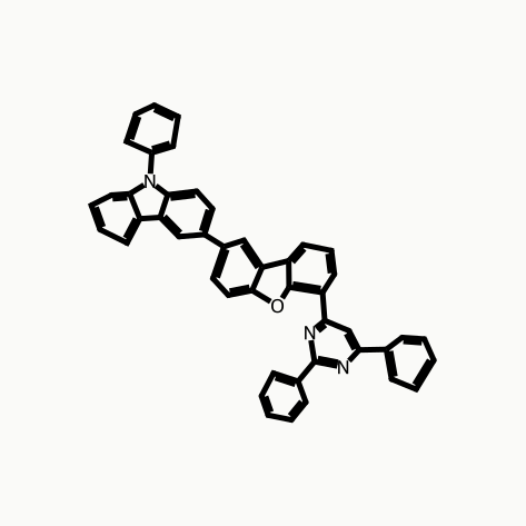 c1ccc(-c2cc(-c3cccc4c3oc3ccc(-c5ccc6c(c5)c5ccccc5n6-c5ccccc5)cc34)nc(-c3ccccc3)n2)cc1